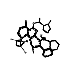 Cc1cc2c(nc(OC(C)[C@@H]3CCCN3C)c3c(=O)ccn([C@H]4[C@H]5CN[C@@H]4C5)c32)c(F)c1-c1cccc2c1C(C#N)CCC2